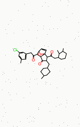 Cc1cc(Cl)cc(CC(=O)C2C3C=CC4(O3)C(C(=O)CC3CCCC(C)C3C)C(CC3CCC(C)CC3)C(=O)C24)c1